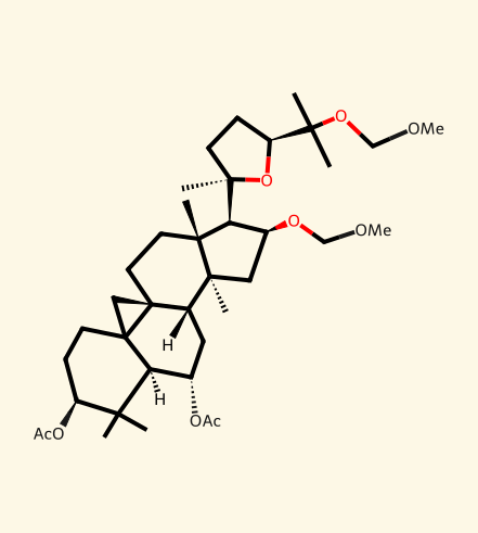 COCO[C@H]1C[C@@]2(C)[C@@H]3C[C@H](OC(C)=O)[C@H]4C(C)(C)[C@@H](OC(C)=O)CCC45C[C@@]35CC[C@]2(C)[C@H]1[C@@]1(C)CC[C@@H](C(C)(C)OCOC)O1